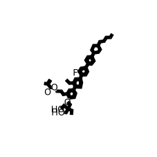 C=C(C)C(=O)OCCCc1cc(-c2ccc(-c3ccc(-c4ccc(C5CCC(CCCCC)CC5)cc4)cc3F)cc2CC)ccc1OCC(CC)(CO)CO